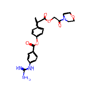 CC(C(=O)OCC(=O)N1CCOCC1)c1ccc(OC(=O)c2ccc(NC(=N)N)cc2)cc1